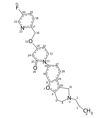 CCCN1CCc2oc3cc(-n4ccc(OCc5ccc(F)cn5)cc4=O)ccc3c2C1